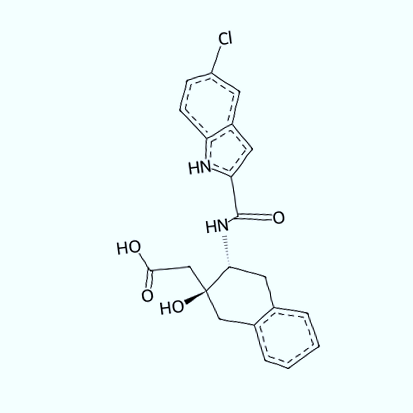 O=C(O)C[C@@]1(O)Cc2ccccc2C[C@H]1NC(=O)c1cc2cc(Cl)ccc2[nH]1